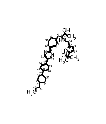 C=C(O)[C@H](CC1=CC=C(c2ncc(C3=CCC(C4CCC(CCC)CC4)CC3)cn2)CCC1)NCc1ccc(C(C)(C)C)s1